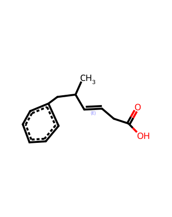 CC(/C=C/CC(=O)O)Cc1ccccc1